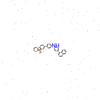 C1=Cc2c(sc3cc(-c4ccc(Nc5ccc(-c6cccc7ccccc67)cc5)cc4)ccc23)CC1